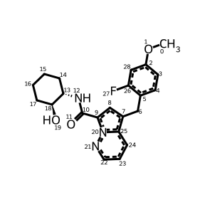 COc1ccc(Cc2cc(C(=O)N[C@H]3CCCC[C@@H]3O)n3ncccc23)c(F)c1